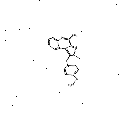 Cn1nc2c(N)nc3ccccc3c2c1Cc1ccc(CN)cc1